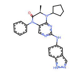 C[C@@H]1C(=O)N(c2ccccc2)c2cnc(Nc3ccc4[nH]ncc4c3)nc2N1C1CCCC1